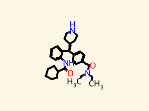 CCN(CC)C(=O)c1ccc(C(=C2CCNCC2)c2ccccc2NC(=O)C2CCCCC2)cc1